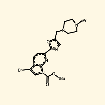 CC(C)N1CCN(Cc2cnc(-c3ccc4c(Br)cn(C(=O)OC(C)(C)C)c4n3)o2)CC1